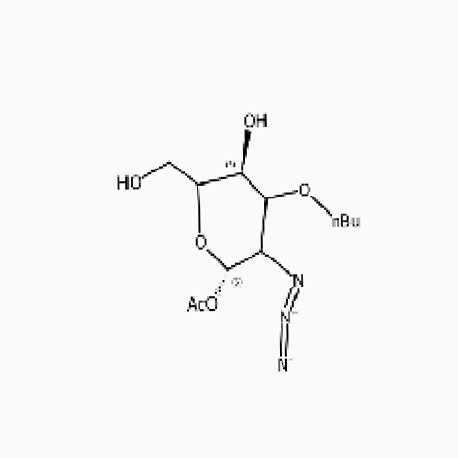 CCCCOC1C(N=[N+]=[N-])[C@H](OC(C)=O)OC(CO)[C@H]1O